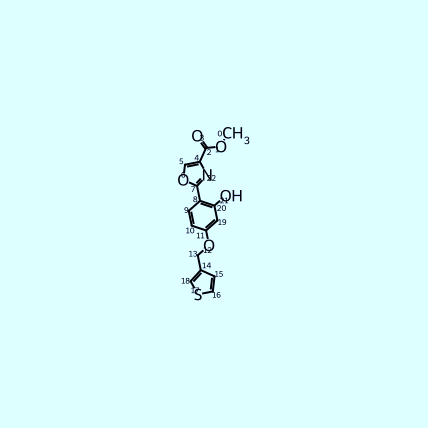 COC(=O)c1coc(-c2ccc(OCc3ccsc3)cc2O)n1